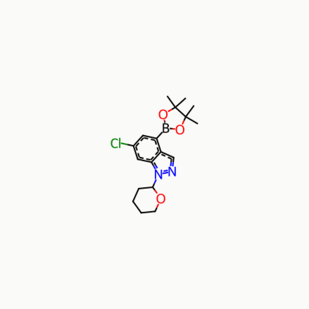 CC1(C)OB(c2cc(Cl)cc3c2cnn3C2CCCCO2)OC1(C)C